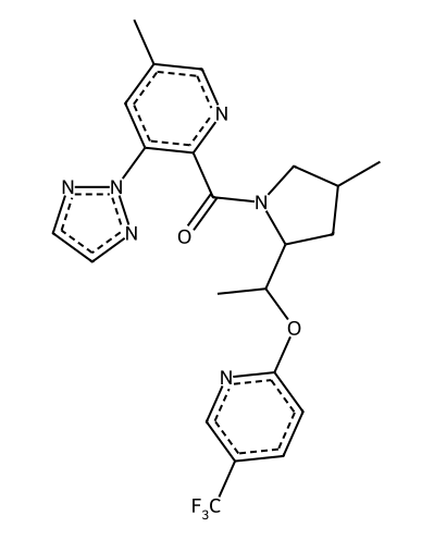 Cc1cnc(C(=O)N2CC(C)CC2C(C)Oc2ccc(C(F)(F)F)cn2)c(-n2nccn2)c1